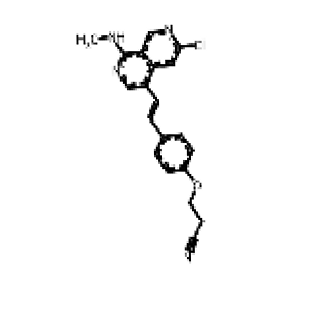 CNc1ncc(C=Cc2ccc(OCCC#N)cc2)c2cc(Cl)ncc12